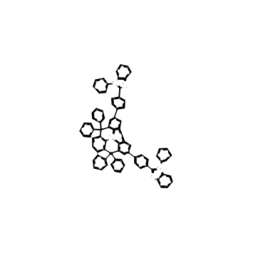 c1ccc(-n2c(-c3ccc(-c4cc5c6c(c4)c4cc(-c7ccc(-c8nc9ccccc9n8-c8ccccc8)cc7)cc7c4n6-c4c(cccc4C7(c4ccccc4)c4ccccc4)C5(c4ccccc4)c4ccccc4)cc3)nc3ccccc32)cc1